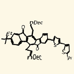 CCCCCCCCCCCCc1c2c(=O)c3cc(C(C)(C)CC)ccc3c2c(CCCCCCCCCCCC)c2c(=O)c3cc(-c4ccc(-c5ccc(C(C)C)s5)s4)ccc3c12